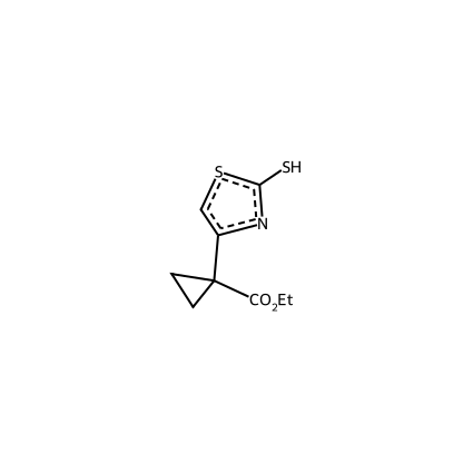 CCOC(=O)C1(c2csc(S)n2)CC1